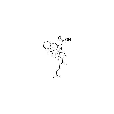 CC(C)CCC[C@@H](C)[C@H]1CC[C@H]2[C@@H]3C(CC(=O)O)CC4CCCC[C@]4(C)[C@H]3CC[C@]12C